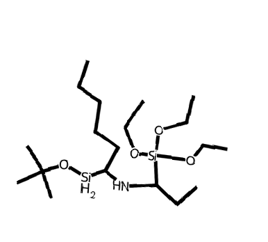 CCCCCC(NC(CC)[Si](OCC)(OCC)OCC)[SiH2]OC(C)(C)C